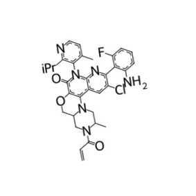 C=CC(=O)N1CC2COc3c(c4cc(Cl)c(-c5c(N)cccc5F)nc4n(-c4c(C)ccnc4C(C)C)c3=O)N2CC1C